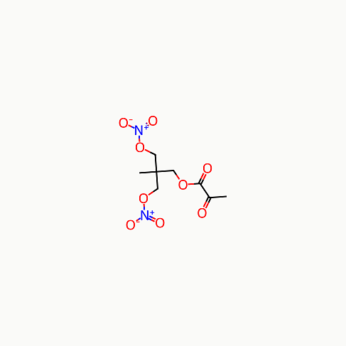 CC(=O)C(=O)OCC(C)(CO[N+](=O)[O-])CO[N+](=O)[O-]